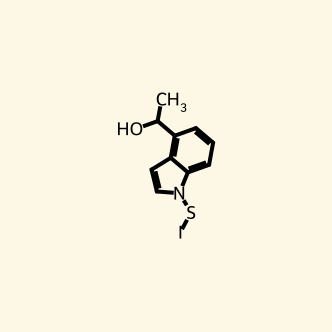 CC(O)c1cccc2c1ccn2SI